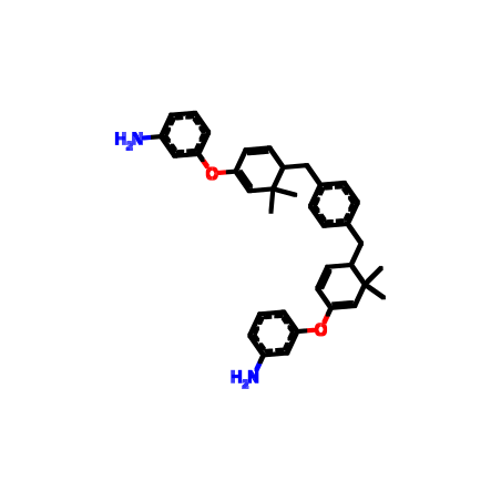 CC1(C)C=C(Oc2cccc(N)c2)C=CC1Cc1ccc(CC2C=CC(Oc3cccc(N)c3)=CC2(C)C)cc1